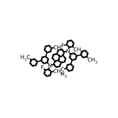 Cc1cccc(-c2cc(-c3cccc(C)c3)cc(N(c3c(C)cccc3F)c3ccc4ccc5c(N(c6cc(-c7cccc(C)c7)cc(-c7cccc(C)c7)c6)c6c(C)cccc6F)ccc6ccc3c4c65)c2)c1